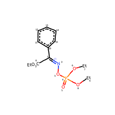 CCOC(=O)/C(=N\OP(=O)(OCC)OCC)c1ccccc1